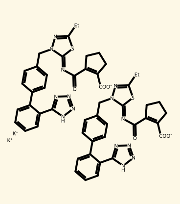 CCc1nn(Cc2ccc(-c3ccccc3-c3nnn[nH]3)cc2)c(=NC(=O)C2=C(C(=O)[O-])CCC2)s1.CCc1nn(Cc2ccc(-c3ccccc3-c3nnn[nH]3)cc2)c(=NC(=O)C2=C(C(=O)[O-])CCC2)s1.[K+].[K+]